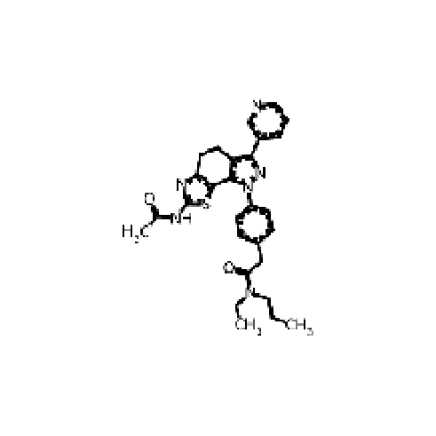 CCCN(CC)C(=O)Cc1ccc(-n2nc(-c3cccnc3)c3c2-c2sc(NC(C)=O)nc2CC3)cc1